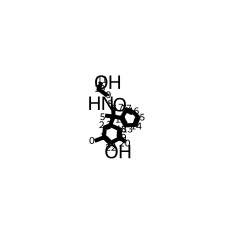 Cc1cc(C(C)(C(=O)NCCO)c2ccccc2)cc(C)c1O